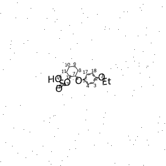 CCOc1ccc(OC2CCCCC2OS(=O)O)cc1